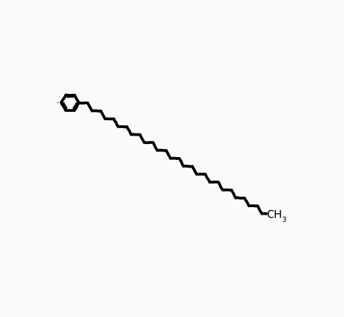 CCCCCCCCCCCCCCCCCCCCCCCCCCCCCc1cc[c]cc1